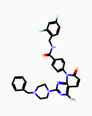 Cc1nc(N2CCN(Cc3ccccc3)CC2)nc2c1ccc(=O)n2-c1ccc(C(=O)NCc2ccc(F)cc2F)cc1